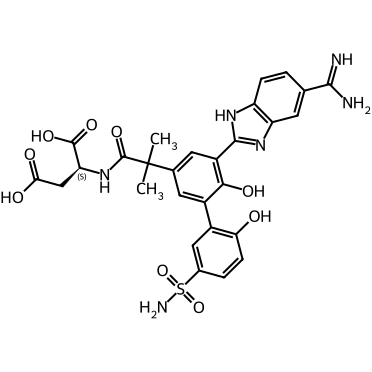 CC(C)(C(=O)N[C@@H](CC(=O)O)C(=O)O)c1cc(-c2nc3cc(C(=N)N)ccc3[nH]2)c(O)c(-c2cc(S(N)(=O)=O)ccc2O)c1